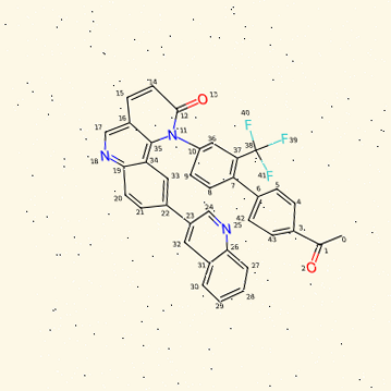 CC(=O)c1ccc(-c2ccc(-n3c(=O)ccc4cnc5ccc(-c6cnc7ccccc7c6)cc5c43)cc2C(F)(F)F)cc1